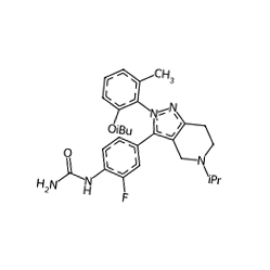 Cc1cccc(OCC(C)C)c1-n1nc2c(c1-c1ccc(NC(N)=O)c(F)c1)CN(C(C)C)CC2